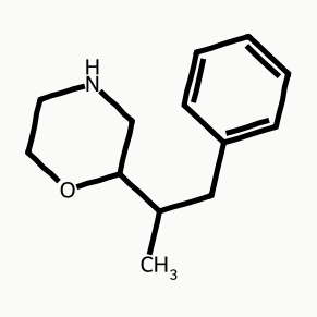 CC(Cc1ccccc1)C1CNCCO1